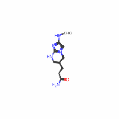 NC(=O)CCC1CNc2nc(NC=O)cn2C1